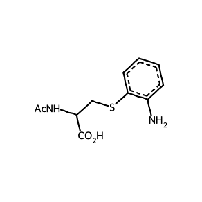 CC(=O)NC(CSc1ccccc1N)C(=O)O